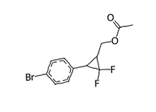 CC(=O)OCC1C(c2ccc(Br)cc2)C1(F)F